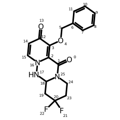 O=C1c2c(OCc3ccccc3)c(=O)ccn2NC2CC(F)(F)CCN12